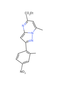 CCOC(=O)c1cc(C)n2nc(-c3ccc([N+](=O)[O-])cc3C)cc2n1